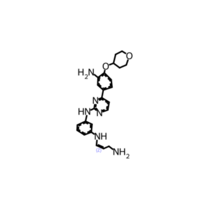 NC/C=C\Nc1cccc(Nc2nccc(-c3ccc(OC4CCOCC4)c(N)c3)n2)c1